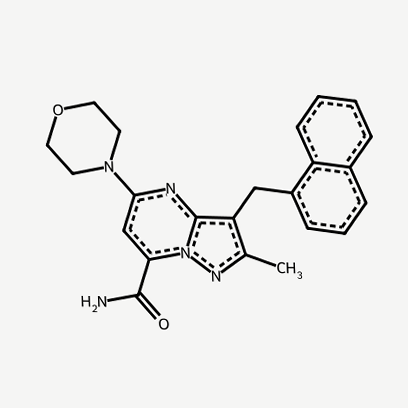 Cc1nn2c(C(N)=O)cc(N3CCOCC3)nc2c1Cc1cccc2ccccc12